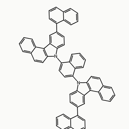 c1ccc2c(-c3ccc4c(c3)c3c5ccccc5ccc3n4-c3ccc(-n4c5ccc(-c6cccc7ccccc67)cc5c5c6ccccc6ccc54)c4ccccc34)cccc2c1